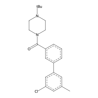 Cc1cc(Cl)cc(-c2cccc(C(=O)N3CCN(C(C)(C)C)CC3)c2)c1